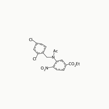 CCOC(=O)c1ccc([N+](=O)[O-])c(N(Cc2ccc(Cl)cc2Cl)C(C)=O)c1